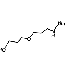 CC(C)(C)NCCCOCCCO